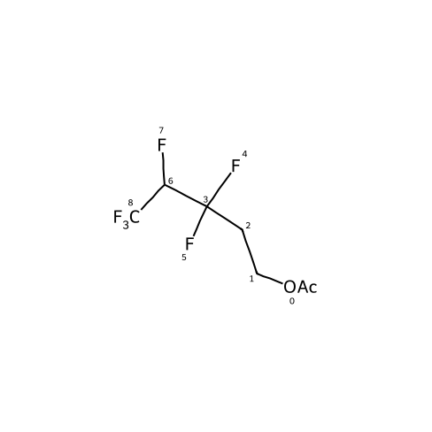 CC(=O)OCCC(F)(F)C(F)C(F)(F)F